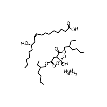 CCCCC(CC)COC(=O)CC(C(=O)OCC(CC)CCCC)S(=O)(=O)O.CCCCCC[C@@H](O)C/C=C\CCCCCCCC(=O)O.[NaH].[SnH2]